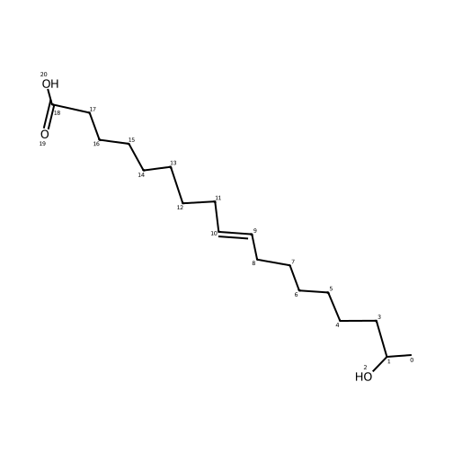 CC(O)CCCCCCC=CCCCCCCCC(=O)O